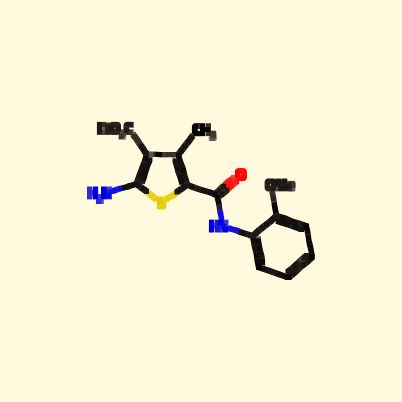 CCOC(=O)c1c(N)sc(C(=O)Nc2ccccc2OC)c1C